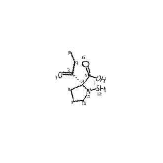 CCC(=O)[C@@]1(C(=O)O)CCCN1S